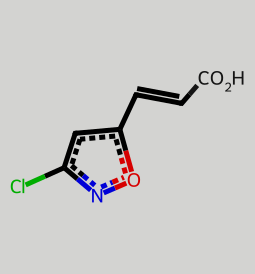 O=C(O)/C=C/c1cc(Cl)no1